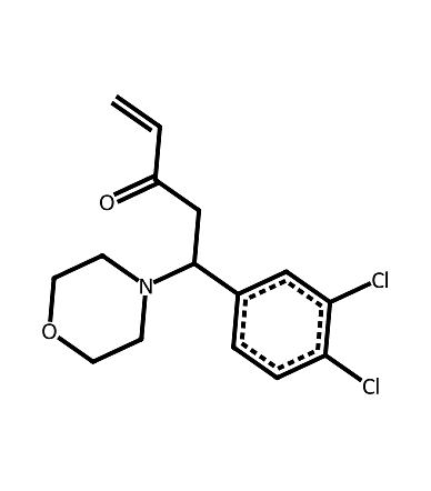 C=CC(=O)CC(c1ccc(Cl)c(Cl)c1)N1CCOCC1